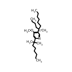 CCCCCCC(C)(C)c1cc(OC)c([C@@](C)(CCCC)CCCCCC)cn1